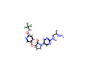 CC(N)CN(C)c1ncc(N2CC[C@@H](Oc3ccc(OCC(C)(F)F)nc3)C2=O)cn1